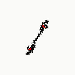 c1cc2c(cc1OCCCCCCCCCCOc1ccc3c(c1)[C@@]14CCCC[C@H]1[C@@H](C3)N(CC1CCC1)CC4)[C@@]13CCCC[C@H]1[C@@H](C2)N(CC1CCC1)CC3